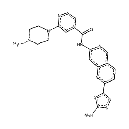 CNc1ncc(-c2ccc3cnc(NC(=O)c4ccnc(N5CCN(C)CC5)c4)cc3n2)s1